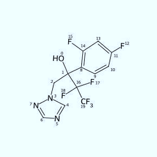 OC(Cn1cncn1)(c1ccc(F)cc1F)C(F)(F)C(F)(F)F